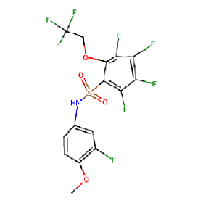 COc1ccc(NS(=O)(=O)c2c(F)c(F)c(F)c(F)c2OCC(F)(F)F)cc1F